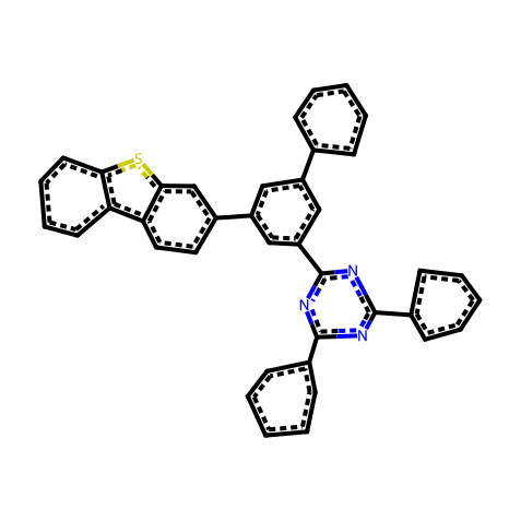 c1ccc(-c2cc(-c3ccc4c(c3)sc3ccccc34)cc(-c3nc(-c4ccccc4)nc(-c4ccccc4)n3)c2)cc1